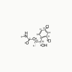 CNC(=O)O[C@@H](C)[C@@H](O)c1ccc(Cl)cc1Cl